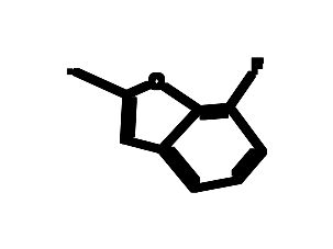 [CH2]c1cc2cccc(F)c2o1